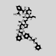 CC[C@H](C)[C@@H]([C@@H](CC(=O)N1CCC[C@H]1[C@H](OC)[C@@H](C)C(=O)N[C@@H](Cc1ccccc1)C(=O)Nc1ccc(CNC(=O)OCc2ccccc2)cc1)OC)N(C)C(=O)[C@@H](NC(=O)C1C2CCC(C2)N1C(=O)O)C(C)C